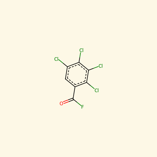 O=C(F)c1cc(Cl)c(Cl)c(Cl)c1Cl